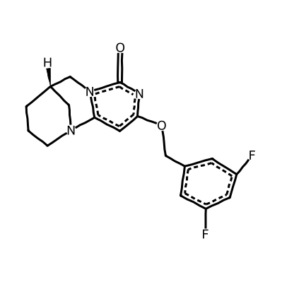 O=c1nc(OCc2cc(F)cc(F)c2)cc2n1C[C@H]1CCCN2C1